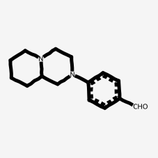 O=Cc1ccc(N2CCN3CCCCC3C2)cc1